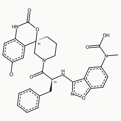 CN(C(=O)O)c1ccc2onc(N[C@@H](Cc3ccccc3)C(=O)N3CCC[C@@]4(C3)OC(=O)Nc3ccc(Cl)cc34)c2c1